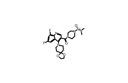 CN(C)[S+]([O-])N1CCN(C(=O)c2cnc3c(F)cc(F)cc3c2N2CCC3(CC2)OCCO3)CC1